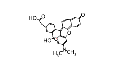 CN(C)c1ccc2c(-c3ccc(CC(=O)O)cc3C(=O)O)c3ccc4cc(=O)ccc4c3oc2c1